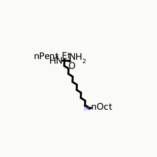 CCCCCCCC/C=C\CCCCCCCCCCC(CC)(NCCCCC)C(N)=O